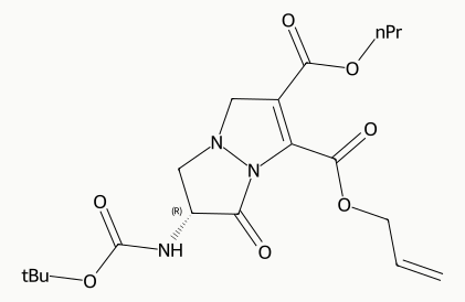 C=CCOC(=O)C1=C(C(=O)OCCC)CN2C[C@@H](NC(=O)OC(C)(C)C)C(=O)N12